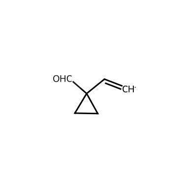 [CH]=CC1(C=O)CC1